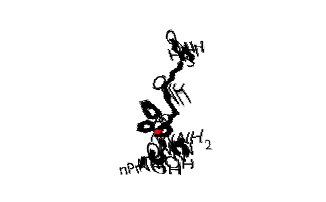 CCCNC[C@H]1O[C@@H](n2c(/N=C(\OCCCCCNC(=O)CCCC[C@@H]3SC[C@@H]4NC(=O)C[C@@H]43)c3ccccc3P(=O)(c3ccccc3)c3ccccc3)nc3c(N)ncnc32)C(O)[C@H]1O